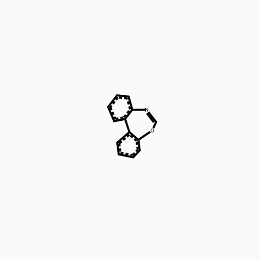 C1=Nc2ccccc2-c2ccccc2O1